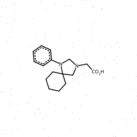 O=C(O)CN1CN(c2ccccc2)C2(CCCCC2)C1